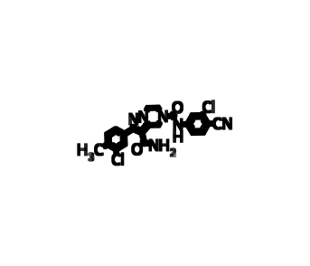 Cc1ccc(-c2nn3c(c2C(N)=O)CN(C(=O)Nc2ccc(C#N)c(Cl)c2)CC3)cc1Cl